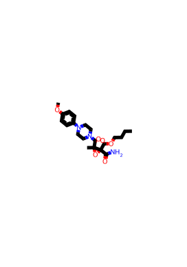 CCCCOC(=O)C1(C(N)=O)OC1(C)C(=O)N1CCN(c2ccc(OC)cc2)CC1